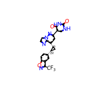 O=c1[nH]cc(-c2cc([C@@H]3C[C@@H]3c3ccc4onc(C(F)(F)F)c4c3)c3nccn3n2)c(=O)[nH]1